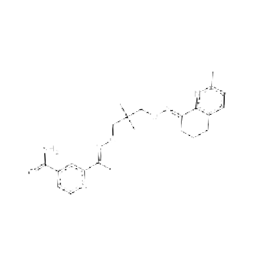 C/C(=N\OCC(C)(C)CO/N=C1\CCCc2ccc(C)nc21)c1cc(C(N)=O)ccn1